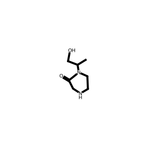 CC(CO)N1CCNCC1=O